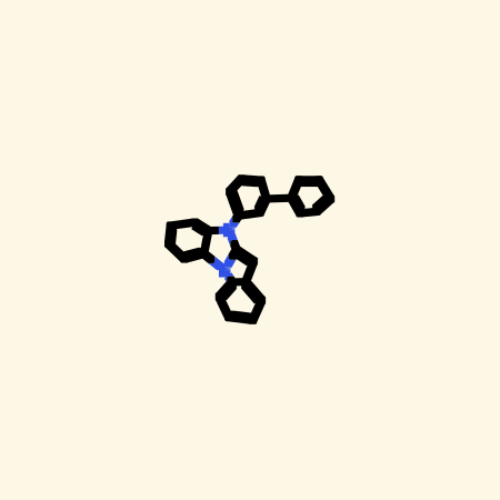 c1ccc(-c2cccc(-n3c4ccccc4n4c5ccccc5cc34)c2)cc1